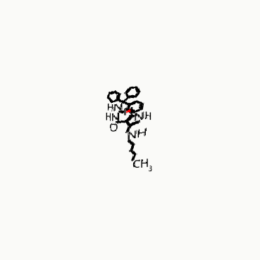 CCCCCCNCc1c[nH]c2nc(NC(c3ccccc3)(c3ccccc3)c3ccccc3)[nH]c(=O)c12